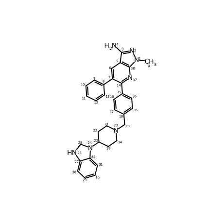 Cn1nc(N)c2cc(-c3ccccc3)c(-c3ccc(CN4CCC(N5[CH]Nc6ccccc65)CC4)cc3)nc21